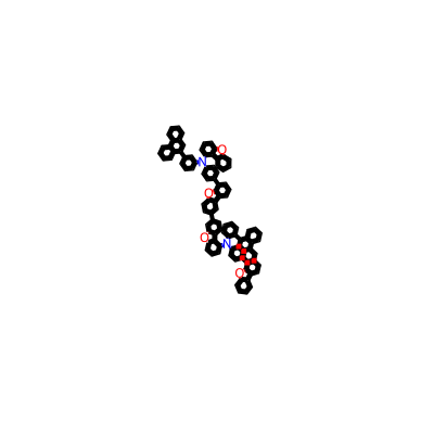 c1cc(-c2cc3ccccc3c3ccccc23)cc(N(c2ccc(-c3cccc4c3oc3ccc(-c5ccc6c(c5)oc5cccc(N(c7ccc(-c8cccc9c8oc8ccccc89)cc7)c7ccccc7-c7cc8ccccc8c8ccccc78)c56)cc34)cc2)c2cccc3oc4ccccc4c23)c1